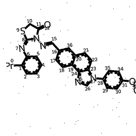 CC(C)c1ccccc1/N=C1/SCC(=O)N1/N=C/c1ccc2c(ccc3c2ncn3-c2ccc(OC(F)(F)F)cc2)c1